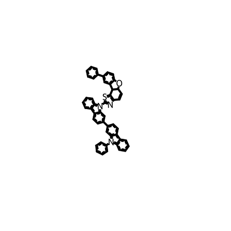 C1=CC2Oc3ccc(-c4ccccc4)cc3C2c2sc(-n3c4ccccc4c4ccc(-c5ccc6c7ccccc7n(-c7ccccc7)c6c5)cc43)nc21